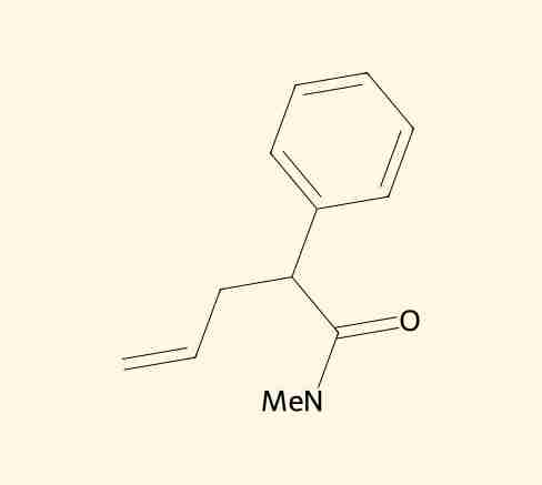 C=CCC(C(=O)NC)c1ccccc1